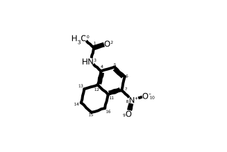 CC(=O)Nc1ccc([N+](=O)[O-])c2c1CCCC2